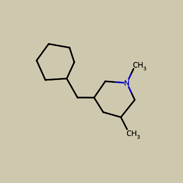 CC1CC(CC2CCCCC2)CN(C)C1